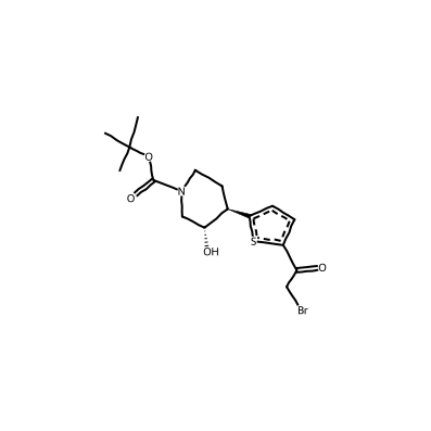 CC(C)(C)OC(=O)N1CC[C@@H](c2ccc(C(=O)CBr)s2)[C@H](O)C1